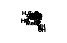 COc1cc(/C(F)=C/c2cccc(-c3cccc(-c4cc(C)c(CNCCO)c(OC)n4)c3Cl)c2C)ccc1CNCCO